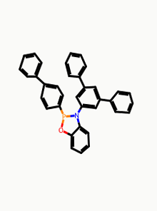 c1ccc(-c2ccc(P3Oc4ccccc4N3c3cc(-c4ccccc4)cc(-c4ccccc4)c3)cc2)cc1